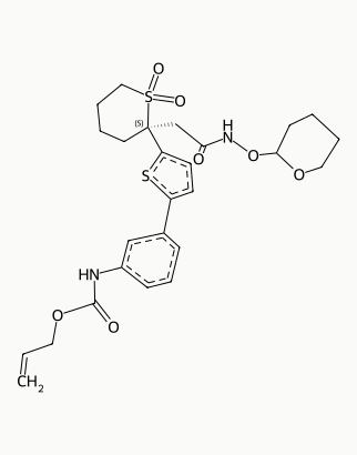 C=CCOC(=O)Nc1cccc(-c2ccc([C@@]3(CC(=O)NOC4CCCCO4)CCCCS3(=O)=O)s2)c1